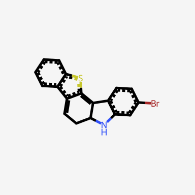 Brc1ccc2c(c1)NC1CC=c3c(sc4ccccc34)=C21